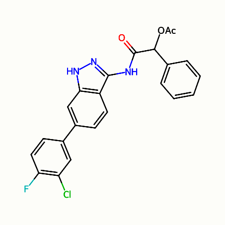 CC(=O)OC(C(=O)Nc1n[nH]c2cc(-c3ccc(F)c(Cl)c3)ccc12)c1ccccc1